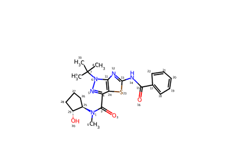 CN(C(=O)c1nn(C(C)(C)C)c2nc(NC(=O)c3ccccc3)sc12)[C@@H]1CCC[C@H]1O